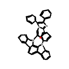 c1ccc(-c2nc3ccc(-n4c5ccccc5c5ccc6c7ccccc7n(-c7ccccc7)c6c54)cn3c2-c2ccccc2)cc1